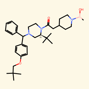 CB(O)N1CCC(CC(=O)N2CCN(C(c3ccccc3)c3ccc(OCC(C)(C)C)cc3)C[C@@H]2C(C)(C)C)CC1